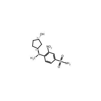 CN(c1ccc(S(N)(=O)=O)cc1[N+](=O)[O-])[C@H]1CC[C@H](O)C1